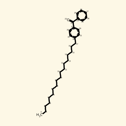 CCCCCCCCCCCCCCCCCCc1ccc(C(=O)c2ccccc2)cc1